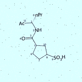 CCC[C@H](NC(=O)C1CCC(S(=O)(=O)O)C1)C(C)=O